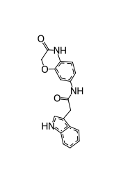 O=C(Cc1c[nH]c2ccccc12)Nc1ccc2c(c1)OCC(=O)N2